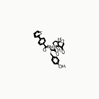 O=C(N[C@@H](Cc1ccc(O)cc1)C(=O)N1CC[C@H]2OCC(=O)[C@H]21)c1ccc(-c2cccs2)cc1